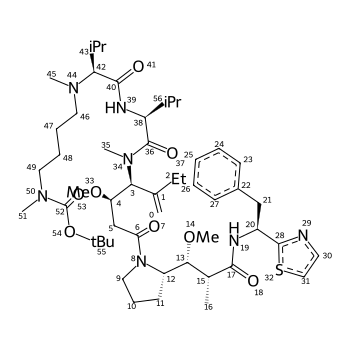 C=C(CC)[C@@H]([C@@H](CC(=O)N1CCC[C@H]1[C@H](OC)[C@@H](C)C(=O)N[C@@H](Cc1ccccc1)c1nccs1)OC)N(C)C(=O)[C@@H](NC(=O)[C@H](C(C)C)N(C)CCCCN(C)C(=O)OC(C)(C)C)C(C)C